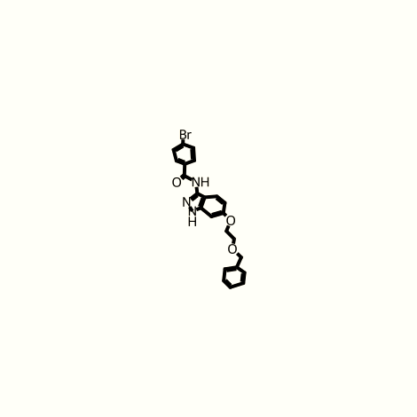 O=C(Nc1n[nH]c2cc(OCCOCc3ccccc3)ccc12)c1ccc(Br)cc1